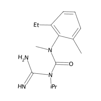 CCc1cccc(C)c1N(C)C(=O)N(C(=N)N)C(C)C